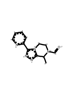 CC1c2nnc(-c3ccccn3)n2CCN1C=O